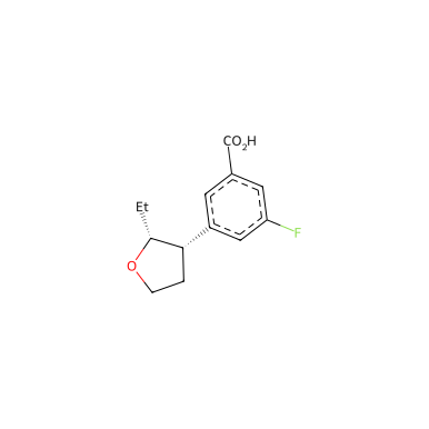 CC[C@H]1OCC[C@H]1c1cc(F)cc(C(=O)O)c1